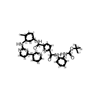 Cc1ccc(NC(=O)c2ccc(C(=O)Nc3ccccc3NC(=O)OC(C)(C)C)s2)cc1Nc1nccc(-c2cccnc2)n1